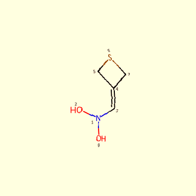 ON(O)C=C1CSC1